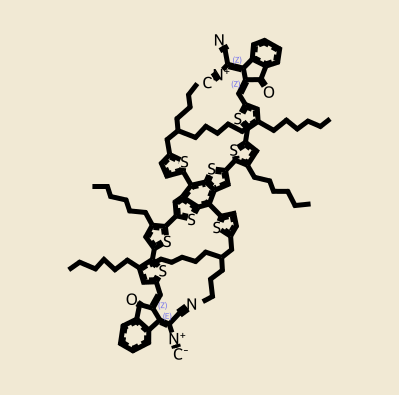 [C-]#[N+]/C(C#N)=C1\C(=C\c2cc(CCCCCC)c(-c3cc(CCCCCC)c(-c4cc5c(-c6ccc(CC(CCCC)CCCCCC)s6)c6sc(-c7sc(-c8sc(/C=C9\C(=O)c%10ccccc%10\C9=C(\C#N)[N+]#[C-])cc8CCCCCC)cc7CCCCCC)cc6c(-c6ccc(CC(CCCC)CCCCCC)s6)c5s4)s3)s2)C(=O)c2ccccc21